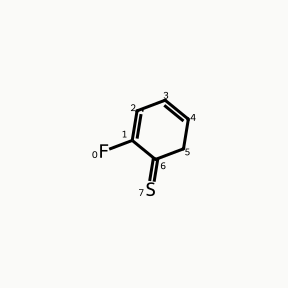 FC1=[C]C=CCC1=S